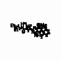 CCN(CC)CCNC(=O)c1cc(-c2nc(N)c3cc(-c4c(C)cccc4C)c(=O)n(OC)c3n2)cn1C